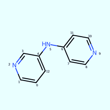 c1cncc(Nc2ccncc2)c1